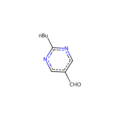 CCCCc1ncc(C=O)cn1